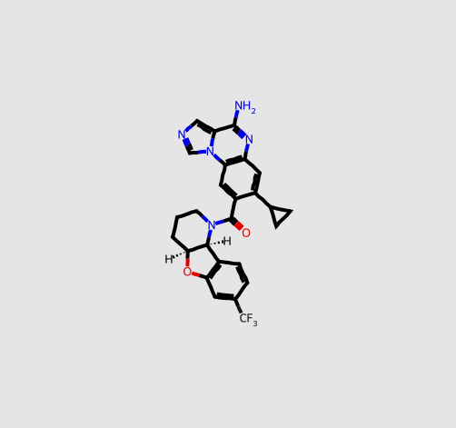 Nc1nc2cc(C3CC3)c(C(=O)N3CCC[C@@H]4Oc5cc(C(F)(F)F)ccc5[C@@H]43)cc2n2cncc12